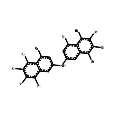 Brc1c(Br)c(Br)c2c(Br)cc(Nc3cc(Br)c4c(Br)c(Br)c(Br)c(Br)c4c3)cc2c1Br